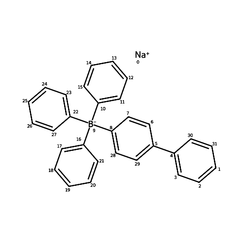 [Na+].c1ccc(-c2ccc([B-](c3ccccc3)(c3ccccc3)c3ccccc3)cc2)cc1